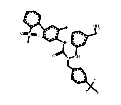 CS(=O)(=O)c1ccccc1-c1ccc(NC(=O)N(Cc2ccc(C(F)(F)F)cc2)Nc2cccc(CN)c2)c(F)c1